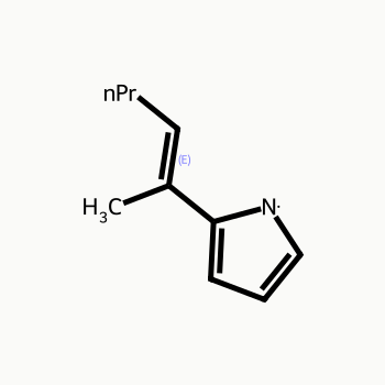 CCC/C=C(\C)C1=CC=C[N]1